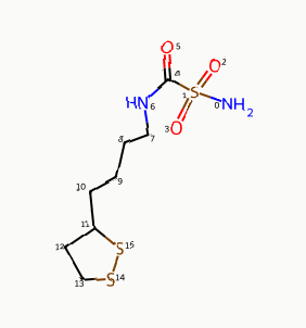 NS(=O)(=O)C(=O)NCCCCC1CCSS1